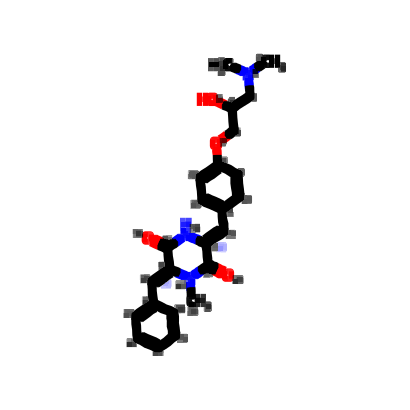 CN(C)CC(O)COc1ccc(/C=c2\[nH]c(=O)/c(=C/c3ccccc3)n(C)c2=O)cc1